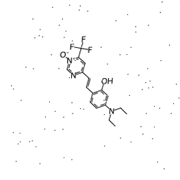 CCN(CC)c1ccc(C=Cc2cc(C(F)(F)F)[n+]([O-])cn2)c(O)c1